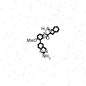 COc1ccc(NC(=O)c2cc3ccccc3n2C)cc1-c1ccc2nc(N)ncc2c1